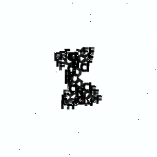 C=C(C)c1c(Cl)c(N(c2ccc(-c3ccc(N(c4c(Cl)c(F)c(C(F)(F)F)c(F)c4Cl)c4c(Cl)c(F)c(C(F)(F)F)c(C(=C)C)c4Cl)cc3C(F)(F)F)c(C(F)(F)F)c2)c2c(Cl)c(F)c(C(F)(F)F)c(F)c2Cl)c(Cl)c(F)c1C(F)(F)F